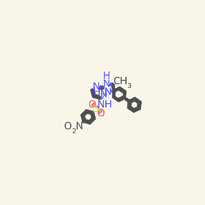 CC(Nc1nccc(NS(=O)(=O)c2ccc([N+](=O)[O-])cc2)n1)C1(N)C=CC(c2ccccc2)=CC1